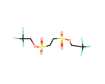 O=S(=O)(CCS(=O)(=O)OCC(F)(F)F)OCC(F)(F)F